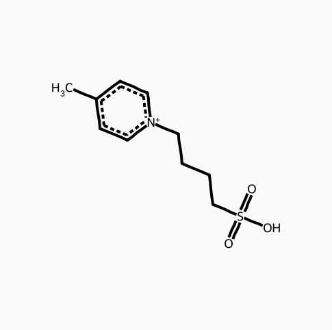 Cc1cc[n+](CCCCS(=O)(=O)O)cc1